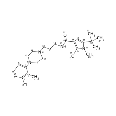 Cc1c(Cl)cccc1N1CCN(CCCNC(=O)c2cc(C(C)(C)C)n(C)c2C)CC1